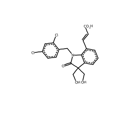 O=C(O)C=Cc1cccc2c1N(Cc1ccc(Cl)cc1Cl)C(=O)C2(CO)CO